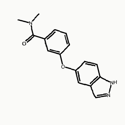 CN(C)C(=O)c1cccc(Oc2ccc3[nH]ncc3c2)c1